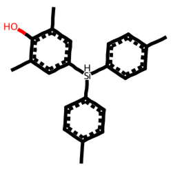 Cc1ccc([SiH](c2ccc(C)cc2)c2cc(C)c(O)c(C)c2)cc1